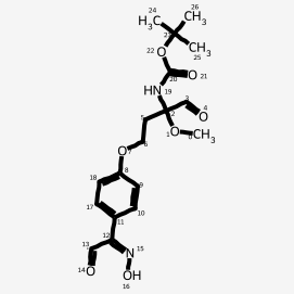 COC(C=O)(CCOc1ccc(C([C]=O)=NO)cc1)NC(=O)OC(C)(C)C